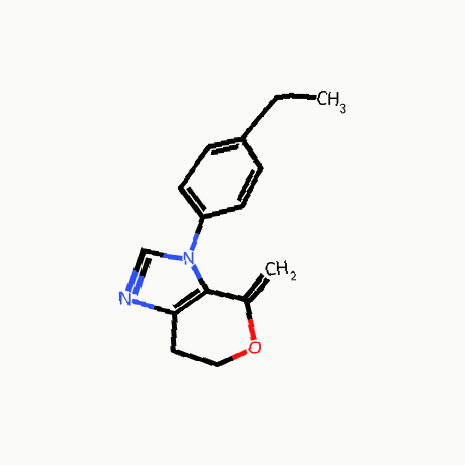 C=C1OCCc2ncn(-c3ccc(CC)cc3)c21